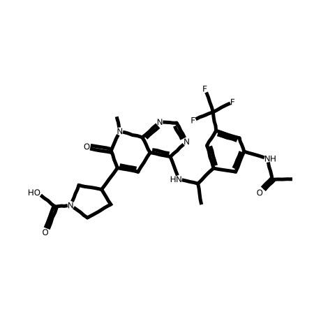 CC(=O)Nc1cc(C(C)Nc2ncnc3c2cc(C2CCN(C(=O)O)C2)c(=O)n3C)cc(C(F)(F)F)c1